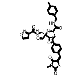 Cc1ccc(CNC(=O)[C@H](CCc2ccc(C=C3SC(=O)N(C)C3=O)cc2)N[C@@](C=O)(CNC(=O)c2ccon2)[C@@H](C)O)cc1